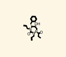 C=CCN1C(=O)N(CC=C)N(C(=O)CC)C[C@@H](O)[C@H]1Cc1ccccc1